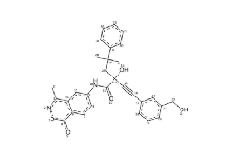 Cc1noc(=O)c2ccc(NC(=O)C(O)(C#Cc3cccc(CO)c3)CC(C)(C)c3ccccc3)cc12